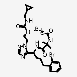 CC(C)(C)OC(=O)NC(C)(C)C(=O)NC(CCCc1ccccc1Br)c1ncnn1CCOC(=O)NCC1CC1